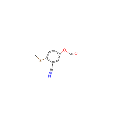 CSc1ccc(OC=O)cc1C#N